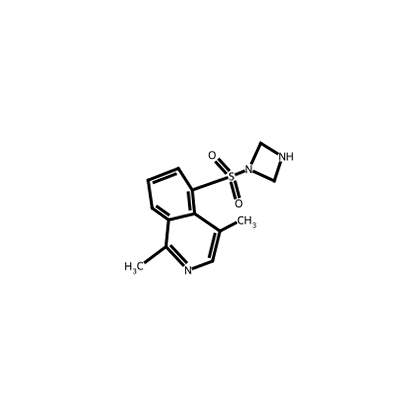 Cc1ncc(C)c2c(S(=O)(=O)N3CNC3)cccc12